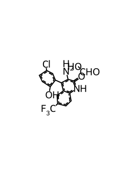 Nc1c(-c2cc(Cl)ccc2O)c2cc(C(F)(F)F)ccc2[nH]c1=O.O=CO